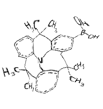 CC1(C)c2cccc3c2N2c4c1cccc4C(C)(C)c1cc(B(O)O)cc(c12)C3(C)C